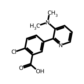 CN(C)c1cccnc1-c1ccc(Cl)c(C(=O)O)c1